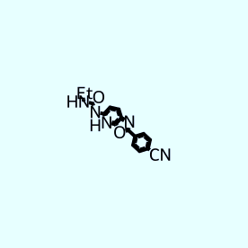 CCNC(=O)Nc1ccc2nc(-c3ccc(C#N)cc3)oc2n1